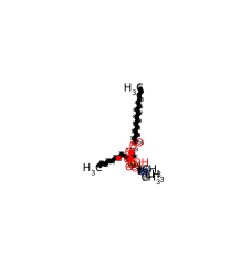 CCCCCCCCCCCCCCCC(=O)OC[C@H](COP(=O)(O)OCC[N+](C)(C)C)OC(=O)CCCCCCCC